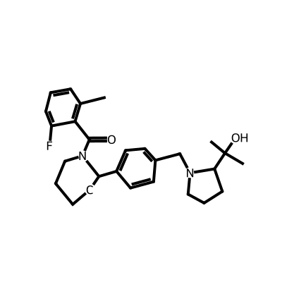 Cc1cccc(F)c1C(=O)N1CCCCC1c1ccc(CN2CCCC2C(C)(C)O)cc1